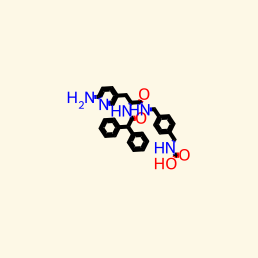 Nc1ccc(CC(NC(=O)C(c2ccccc2)c2ccccc2)C(=O)NCc2ccc(CNC(=O)O)cc2)cn1